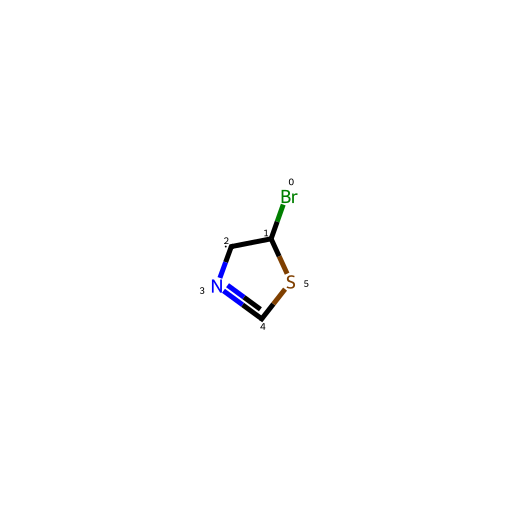 BrC1[CH]N=CS1